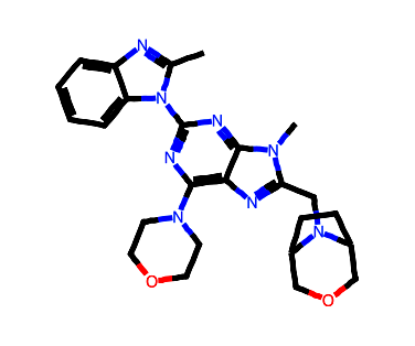 Cc1nc2ccccc2n1-c1nc(N2CCOCC2)c2nc(CN3C4CCC3COC4)n(C)c2n1